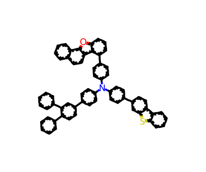 c1ccc(-c2ccc(-c3ccc(N(c4ccc(-c5ccc6c(c5)sc5ccccc56)cc4)c4ccc(-c5cccc6oc7c8ccccc8ccc7c56)cc4)cc3)cc2-c2ccccc2)cc1